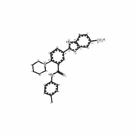 Cc1ccc(NC(=O)c2cc(-c3nc4cc(C(=O)O)ccc4[nH]3)ccc2N2CCCCC2)cc1